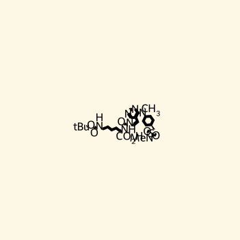 CNS(=O)(=O)C[C@H]1CC[C@H](N(C)c2ncnc3c2ccn3C(=O)NC(CCCCNC(=O)OC(C)(C)C)C(=O)O)CC1